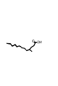 CCCCCCCCCC(C)CCC(=O)O